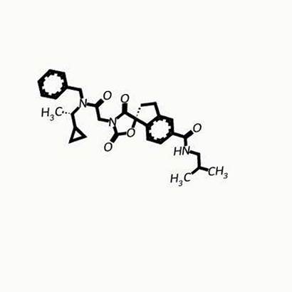 CC(C)CNC(=O)c1ccc2c(c1)CC[C@@]21OC(=O)N(CC(=O)N(Cc2ccccc2)[C@@H](C)C2CC2)C1=O